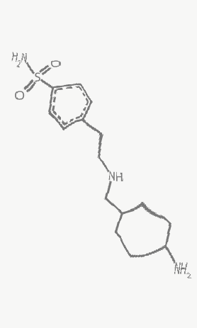 NC1CCC(CNCCc2ccc(S(N)(=O)=O)cc2)CC1